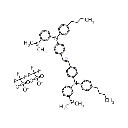 CCCCc1ccc(N(c2ccc(/C=C/c3ccc(N(c4ccc(CCCC)cc4)c4cccc([S+](C)C)c4)cc3)cc2)c2cccc([S+](C)C)c2)cc1.O=S(=O)([O-])C(F)(F)F.O=S(=O)([O-])C(F)(F)F